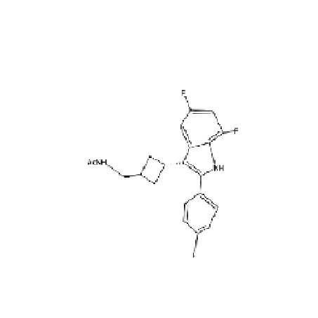 CC(=O)NC[C@H]1C[C@H](c2c(-c3ccc(F)cc3)[nH]c3c(F)cc(F)cc32)C1